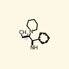 C/C=C(/C(=N)c1ccccc1)N1CCCCC1